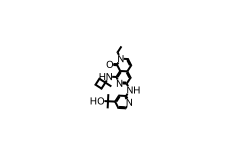 CCn1ccc2cc(Nc3cc(C(C)(C)O)ccn3)nc(NC3(C)CCC3)c2c1=O